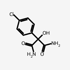 NC(=O)C(O)(C(N)=O)c1ccc(Cl)cc1